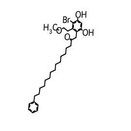 COCCc1c(Br)c(O)cc(O)c1CC(=O)CCCCCCCCCCCCCCc1ccccc1